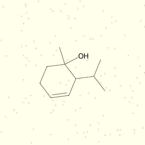 CC(C)C1C=CCCC1(C)O